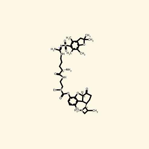 CCc1ccc(OC(=O)N(CC)CCNC(=O)[C@@H](N)CCCN/C(N)=N\S(=O)(=O)c2c(C)c(C)c3c(c2C)CC(C)(C)O3)c2c1C1C([C@H]3C(C)CN3C)CCC(=O)[C@@H]1O2